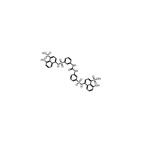 O=C(Nc1cccc(S(=O)(=O)Nc2ccc(S(=O)(=O)O)c3c(O)cccc23)c1)Nc1cccc(S(=O)(=O)Nc2ccc(S(=O)(=O)O)c3c(O)cccc23)c1